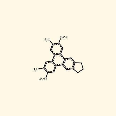 COc1cc2c(cc1C)c1cc(C)c(OC)cc1c1c[n+]3c(cc21)CCC3